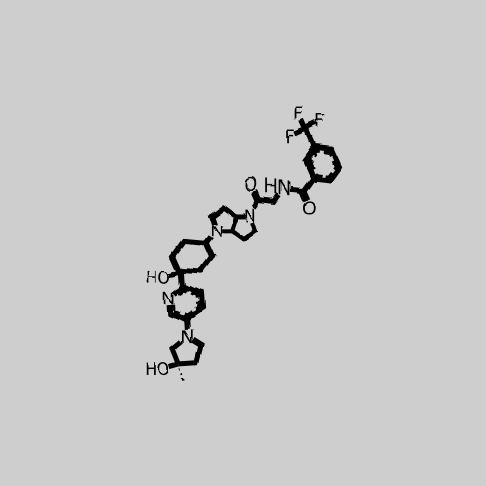 C[C@@]1(O)CCN(c2ccc(C3(O)CCC(N4CCC5C4CCN5C(=O)CNC(=O)c4cccc(C(F)(F)F)c4)CC3)nc2)C1